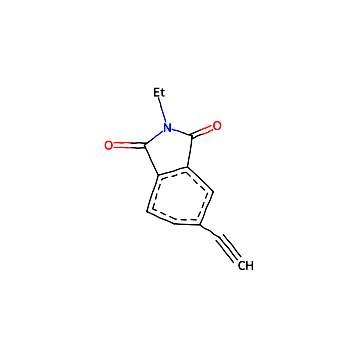 C#Cc1ccc2c(c1)C(=O)N(CC)C2=O